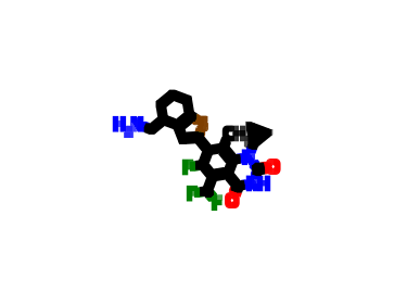 CC1=c2c(c(=O)[nH]c(=O)n2C2CC2)=C(C(F)F)C(F)C1c1cc2c(s1)CCCC2CN